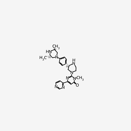 C[C@@H]1CN(c2ccc([C@H]3CN(c4nc(-c5ccncn5)cc(=O)n4C)CCN3)cc2)C[C@H](C)N1